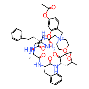 CC(=O)Oc1ccc(C[N+]2(CC(=O)N[C@@H](CCc3ccccc3)C(=O)N[C@@H](C)C(=O)N[C@@H](Cc3ccccc3)C(=O)N[C@@H](CC(C)C)C(=O)[C@@]3(C)CO3)CCOCC2)c(OC/C(N)=C/N)c1